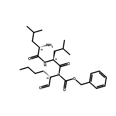 CCCC[C@@H](C=O)N(C(=O)OCc1ccccc1)C(=O)[C@H](CC(C)C)NC(=O)[C@@H](N)CC(C)C